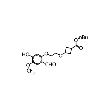 CCCCOC(=O)C1CC(OCCOc2cc(O)c(OC(F)(F)F)cc2C=O)C1